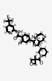 CC1(C(=O)N2CCC[C@@H](C3=C4C=NC=C[N+]4(N)C(c4ccc(C(=O)Nc5cc(C(F)(F)F)ccn5)c(F)c4)=N3)C2)COC1